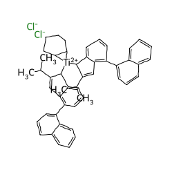 CC(C)C1=Cc2c(-c3cccc4ccccc34)cccc2[CH]1[Ti+2]1([CH]2C(C(C)C)=Cc3c(-c4cccc5ccccc45)cccc32)[CH]2CCCC[CH]21.[Cl-].[Cl-]